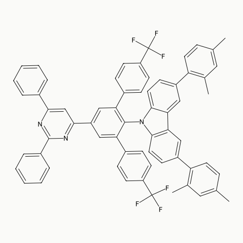 Cc1ccc(-c2ccc3c(c2)c2cc(-c4ccc(C)cc4C)ccc2n3-c2c(-c3ccc(C(F)(F)F)cc3)cc(-c3cc(-c4ccccc4)nc(-c4ccccc4)n3)cc2-c2ccc(C(F)(F)F)cc2)c(C)c1